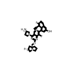 C#Cc1c(F)ccc2cc(O)cc(-c3ncc4c(N5CC[C@H](N)C5)nc(OC[C@@]56CCCN5C[C@H](F)C6)nc4c3F)c12